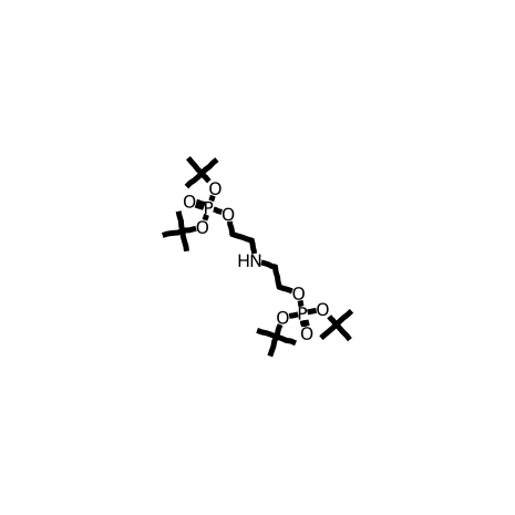 CC(C)(C)OP(=O)(OCCNCCOP(=O)(OC(C)(C)C)OC(C)(C)C)OC(C)(C)C